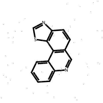 c1ccc2c(c1)ncc1ccc3ncsc3c12